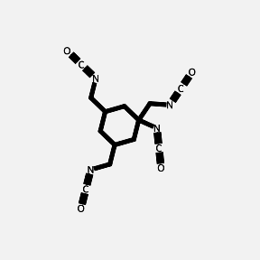 O=C=NCC1CC(CN=C=O)CC(CN=C=O)(N=C=O)C1